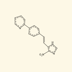 O=[N+]([O-])c1nc[nH]c1/C=C/c1ccc(-c2ccccn2)cc1